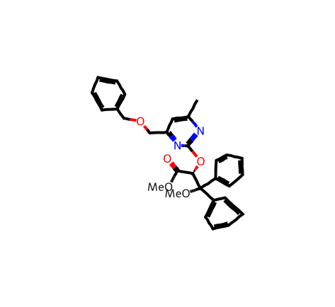 COC(=O)[C@@H](Oc1nc(C)cc(COCc2ccccc2)n1)C(OC)(c1ccccc1)c1ccccc1